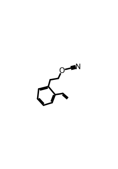 C=Cc1ccccc1CCOC#N